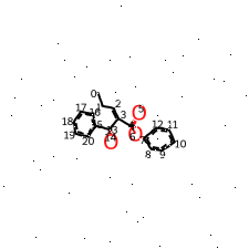 CCC=C(C(=O)Oc1ccccc1)C(=O)c1ccccc1